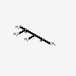 CCCCCCCCOC(=O)CCCCCCCN(CCCCN)CCCCCCCC(=O)OC(CCCCC)CCCCCC